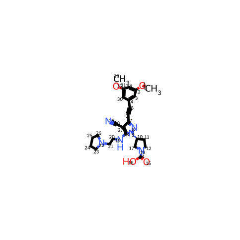 COc1cc(C#Cc2nn([C@H]3CCN(C(=O)O)C3)c(NCCN3CCCC3)c2C#N)cc(OC)c1